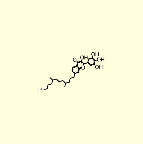 CC(C)CCCC(C)CCCC(C)CCCc1ccc2c(=O)c(O)c(-c3cc(O)c(O)c(O)c3)oc2c1